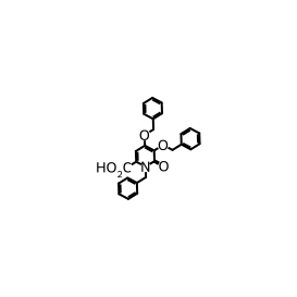 O=C(O)c1cc(OCc2ccccc2)c(OCc2ccccc2)c(=O)n1Cc1ccccc1